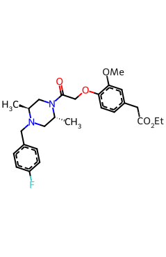 CCOC(=O)Cc1ccc(OCC(=O)N2C[C@H](C)N(Cc3ccc(F)cc3)C[C@H]2C)c(OC)c1